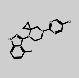 Fc1cccc2[nH]nc(N3CCN(c4ncc(Cl)cn4)CC34CC4)c12